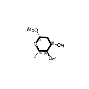 CO[C@@H]1C[C@H](O)[C@@H](O)[C@H](C)O1